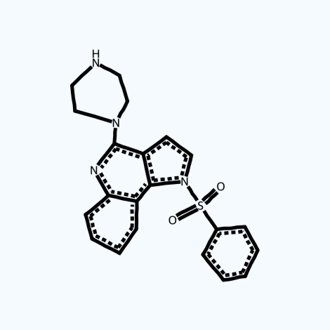 O=S(=O)(c1ccccc1)n1ccc2c(N3CCNCC3)nc3ccccc3c21